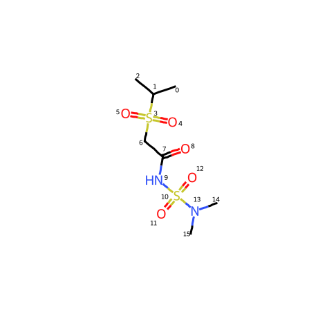 CC(C)S(=O)(=O)CC(=O)NS(=O)(=O)N(C)C